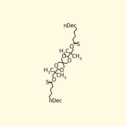 CCCCCCCCCCCCCCC(=S)OCC(C)(C)C1OCC2(CO1)COC(C(C)(C)COC(=S)CCCCCCCCCCCCCC)OC2